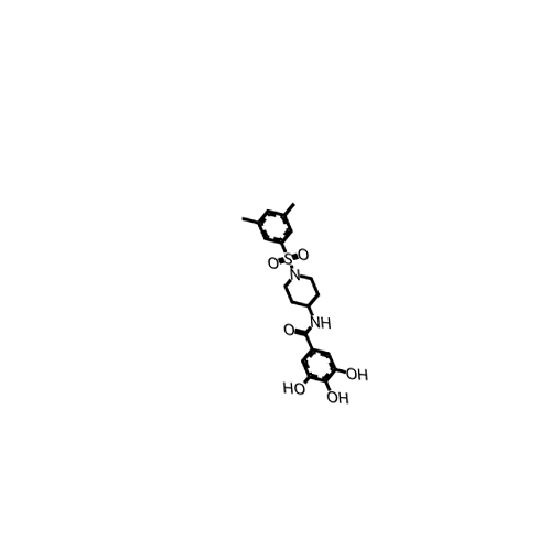 Cc1cc(C)cc(S(=O)(=O)N2CCC(NC(=O)c3cc(O)c(O)c(O)c3)CC2)c1